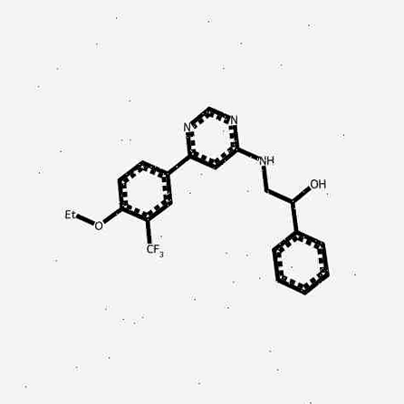 CCOc1ccc(-c2cc(NCC(O)c3ccccc3)ncn2)cc1C(F)(F)F